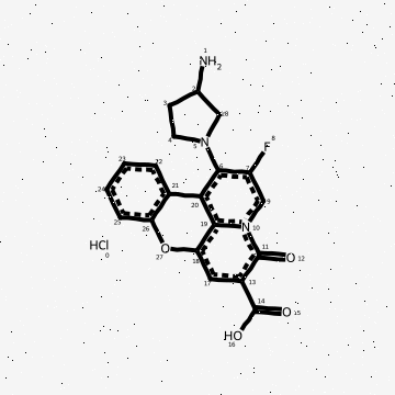 Cl.NC1CCN(c2c(F)cn3c(=O)c(C(=O)O)cc4c3c2-c2ccccc2O4)C1